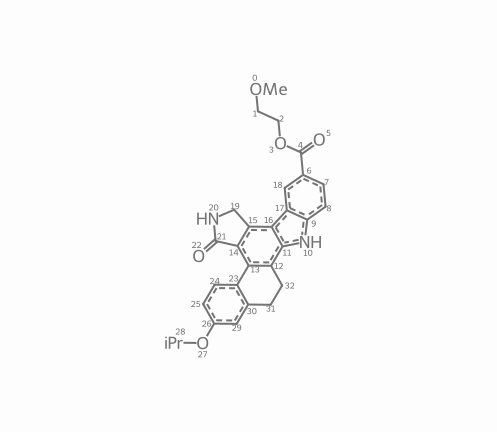 COCCOC(=O)c1ccc2[nH]c3c4c(c5c(c3c2c1)CNC5=O)-c1ccc(OC(C)C)cc1CC4